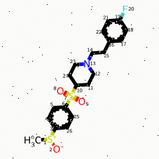 C[S+]([O-])c1ccc(S(=O)(=O)C2CCN(CCc3ccc(F)cc3)CC2)cc1